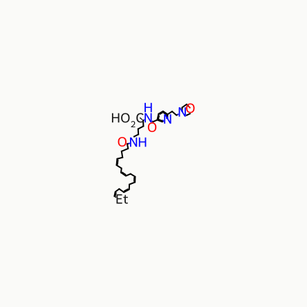 CC/C=C\C/C=C\C/C=C\C/C=C\C/C=C\CCCC(=O)NCCCC[C@H](NC(=O)c1ccc(CCN2CCOCC2)nc1)C(=O)O